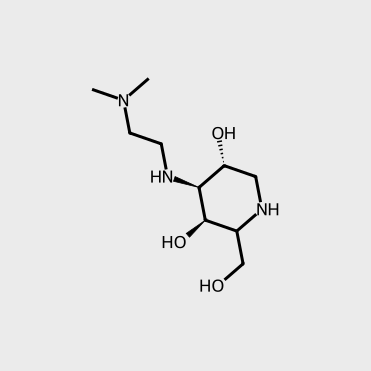 CN(C)CCN[C@H]1[C@H](O)CNC(CO)[C@H]1O